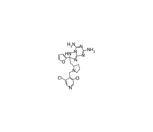 NC1=NC2=NC(CC3CCCN3Cc3c(Cl)cncc3Cl)(c3ccco3)NN2C(N)=N1